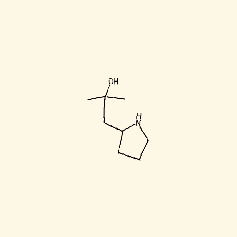 CC(C)(O)CC1CCCN1